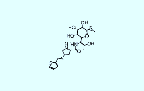 CS[C@H]1OC([C@H](NC(=O)[C@@H]2CC(SCc3cccs3)CN2)[C@@H](C)O)[C@H](O)[C@H](O)[C@H]1O